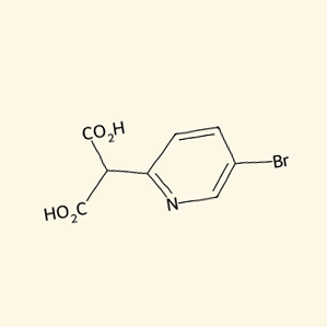 O=C(O)C(C(=O)O)c1ccc(Br)cn1